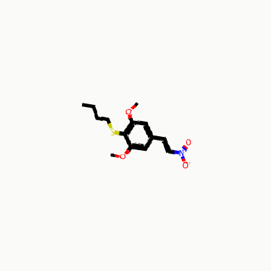 CCCCSc1c(OC)cc(C=C[N+](=O)[O-])cc1OC